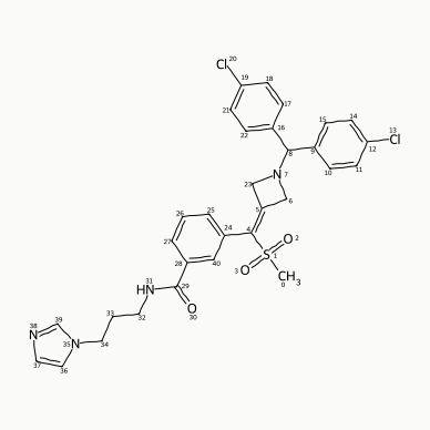 CS(=O)(=O)C(=C1CN(C(c2ccc(Cl)cc2)c2ccc(Cl)cc2)C1)c1cccc(C(=O)NCCCn2ccnc2)c1